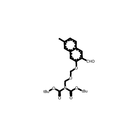 Cc1ccc2cc(C=O)c(OCOCN(C(=O)OC(C)(C)C)C(=O)OC(C)(C)C)cc2c1